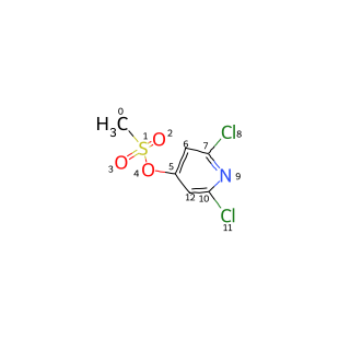 CS(=O)(=O)Oc1cc(Cl)nc(Cl)c1